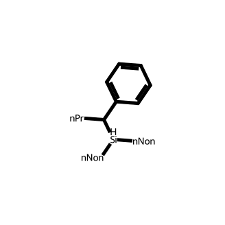 CCCCCCCCC[SiH](CCCCCCCCC)C(CCC)c1ccccc1